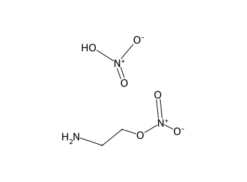 NCCO[N+](=O)[O-].O=[N+]([O-])O